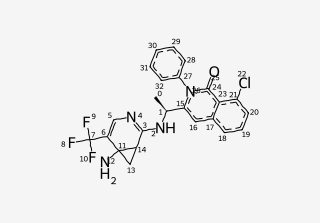 C[C@H](NC1=NC=C(C(F)(F)F)C2(N)CC12)c1cc2cccc(Cl)c2c(=O)n1-c1ccccc1